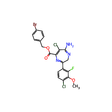 COc1c(Cl)ccc(C2=NC(C(=O)OCc3ccc(Br)cc3)=C(Cl)C(N)=NC2)c1F